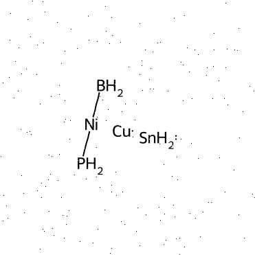 [BH2][Ni][PH2].[Cu].[SnH2]